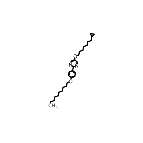 CCCCCCCCCCOc1ccc(-c2ncc(OCCCCCCCC3CC3)cn2)cc1